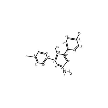 Cc1ccc(-c2cc(N)cc(-c3ccc(C)cc3)c2C)cc1